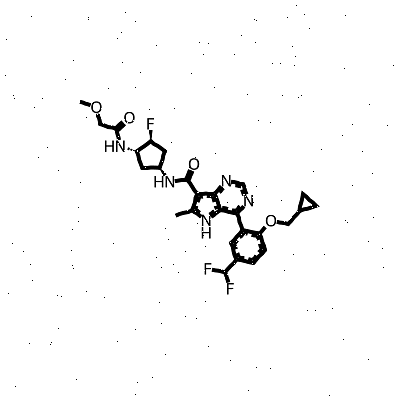 COCC(=O)N[C@H]1C[C@H](NC(=O)c2c(C)[nH]c3c(-c4cc(C(F)F)ccc4OCC4CC4)ncnc23)C[C@@H]1F